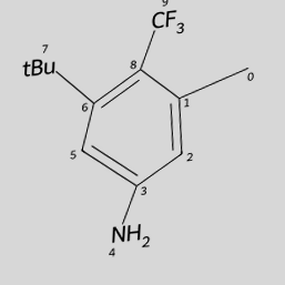 Cc1cc(N)cc(C(C)(C)C)c1C(F)(F)F